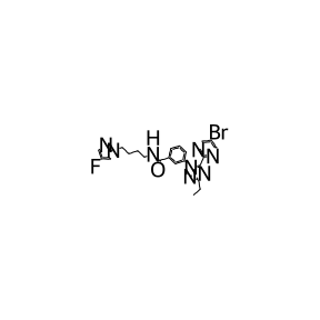 CCc1nc(-c2ncc(Br)cn2)n(-c2cccc(C(=O)NCCCCn3cc(F)cn3)c2)n1